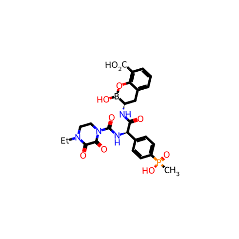 CCN1CCN(C(=O)N[C@@H](C(=O)N[C@H]2Cc3cccc(C(=O)O)c3OB2O)c2ccc(P(C)(=O)O)cc2)C(=O)C1=O